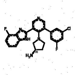 N[C@@H]1CCN(c2c(-c3cc(F)cc(Cl)c3)cncc2-c2nc3c(F)cccc3[nH]2)C1